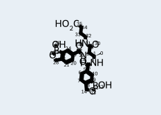 C[C@H](NC(=O)c1ccc2c(c1)B(O)OC2)[C@H](NC(=O)c1ccc2c(c1)B(O)OC2)C(=O)NCCCC(=O)O